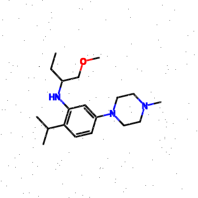 CCC(COC)Nc1cc(N2CCN(C)CC2)ccc1C(C)C